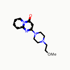 COCCN1CCN(c2cc(=O)n3ccccc3n2)CC1